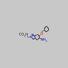 Nc1cc2cn(CC(=O)O)nc2cc1OCc1ccccc1